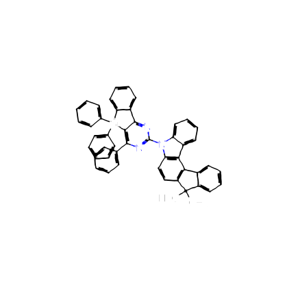 CC1(C)c2ccccc2-c2c1ccc1c2c2ccccc2n1-c1nc(-c2ccccc2)c2c(n1)-c1ccccc1[Si]2(c1ccccc1)c1ccccc1